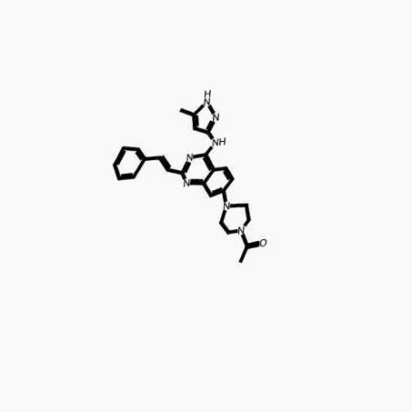 CC(=O)N1CCN(c2ccc3c(Nc4cc(C)[nH]n4)nc(/C=C/c4ccccc4)nc3c2)CC1